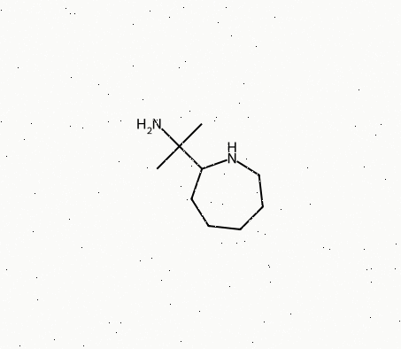 CC(C)(N)C1CCCCCN1